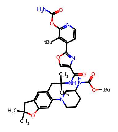 CC(C)(Cc1cc2c(cc1N1CCCC(NC(=O)OC(C)(C)C)C1)OC(C)(C)C2)NC(=O)c1coc(-c2ccnc(OC(N)=O)c2C(C)(C)C)n1